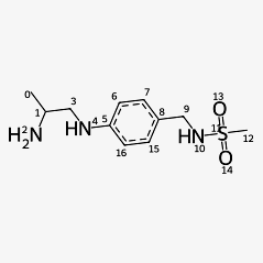 CC(N)CNc1ccc(CNS(C)(=O)=O)cc1